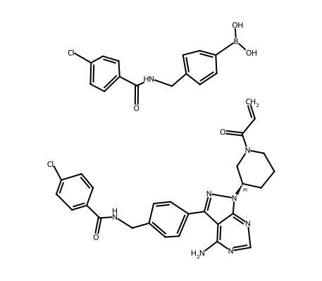 C=CC(=O)N1CCC[C@@H](n2nc(-c3ccc(CNC(=O)c4ccc(Cl)cc4)cc3)c3c(N)ncnc32)C1.O=C(NCc1ccc(B(O)O)cc1)c1ccc(Cl)cc1